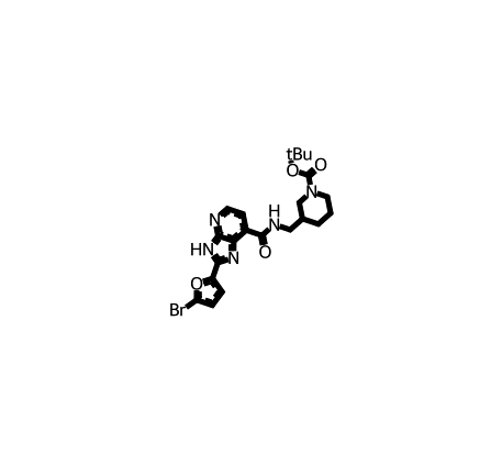 CC(C)(C)OC(=O)N1CCCC(CNC(=O)c2ccnc3[nH]c(-c4ccc(Br)o4)nc23)C1